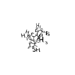 C=C(c1sc2cc(S)ccc2c1C)c1c(C)cc(F)cc1C